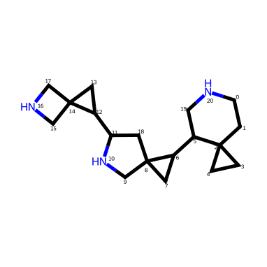 C1CC2(CC2)C(C2CC23CNC(C2CC24CNC4)C3)CN1